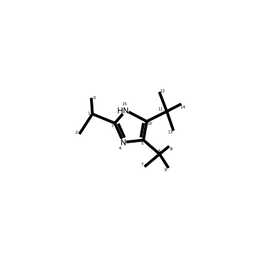 CC(C)c1nc(C(C)(C)C)c(C(C)(C)C)[nH]1